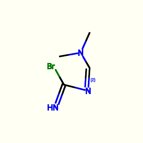 CN(C)/C=N\C(=N)Br